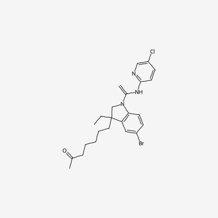 C=C(Nc1ccc(Cl)cn1)N1CC(CC)(CCCCCC(C)=O)c2cc(Br)ccc21